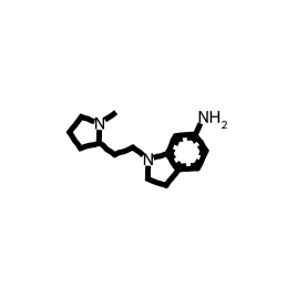 CN1CCCC1CCN1CCc2ccc(N)cc21